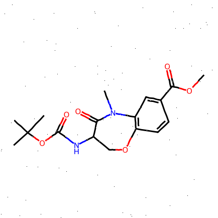 COC(=O)c1ccc2c(c1)N(C)C(=O)C(NC(=O)OC(C)(C)C)CO2